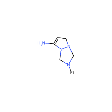 CCN1CN2CC=C(N)N2C1